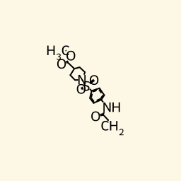 C=CC(=O)Nc1ccc(S(=O)(=O)N2CCC(C(=O)OC)CC2)cc1